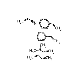 C=CC#N.C=CC(=C)C.C=CC=C.C=Cc1ccccc1.C=Cc1ccccc1